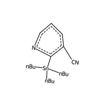 CCC[CH2][Sn]([CH2]CCC)([CH2]CCC)[c]1ncccc1C#N